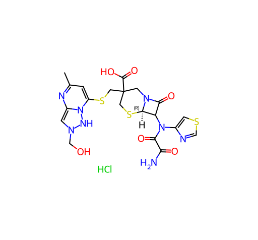 CC1=NC2=CN(CO)NN2C(SCC2(C(=O)O)CS[C@@H]3C(N(C(=O)C(N)=O)c4cscn4)C(=O)N3C2)=C1.Cl